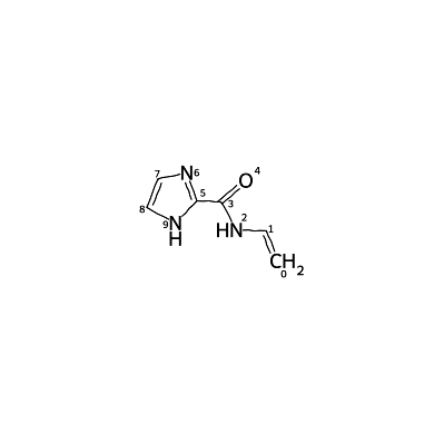 C=CNC(=O)c1ncc[nH]1